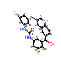 Cc1cnc2ccc(C(=O)c3cc(NC(=O)Nc4cccc(F)c4)cc(F)c3F)cc2c1